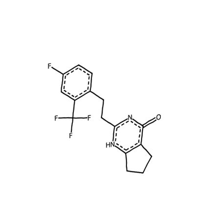 O=c1nc(CCc2ccc(F)cc2C(F)(F)F)[nH]c2c1CCC2